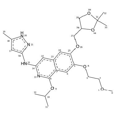 COCCOc1cc2c(OC(C)C)nc(Nc3cc(C)[nH]n3)cc2cc1OCC1COC(C)(C)O1